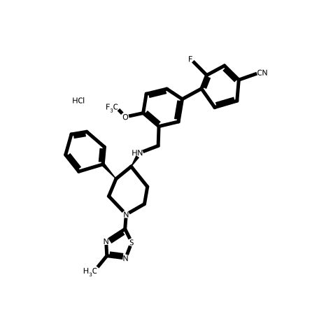 Cc1nsc(N2CC[C@H](NCc3cc(-c4ccc(C#N)cc4F)ccc3OC(F)(F)F)[C@H](c3ccccc3)C2)n1.Cl